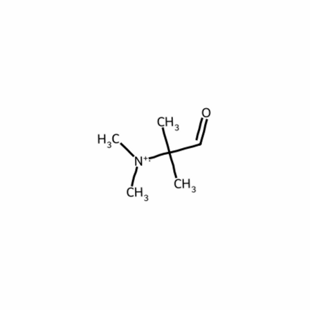 C[N+](C)C(C)(C)C=O